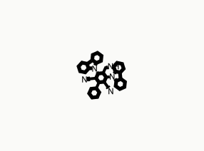 N#Cc1c(-c2ccccc2)c(C#N)c(-n2c3ccccc3c3ccccc32)c(C=N)c1-n1c2ccccc2c2ccccc21